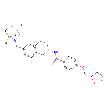 O=C(N[C@H]1CCc2cc(CN3C[C@@H]4CC[C@H]3C4)ccc2C1)c1ccc(OC[C@@H]2CCCO2)cc1